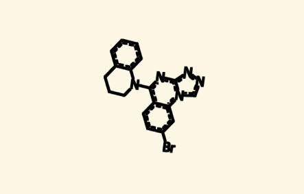 Brc1ccc2c(N3CCCc4ccccc43)nc3nncn3c2c1